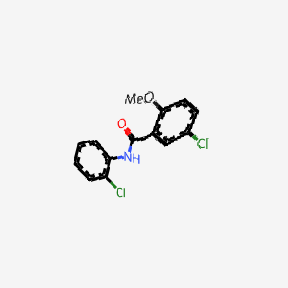 COc1ccc(Cl)cc1C(=O)Nc1ccccc1Cl